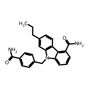 CCCc1c[c]c2c3c(C(N)=O)cccc3n(Cc3ccc(C(N)=O)cc3)c2c1